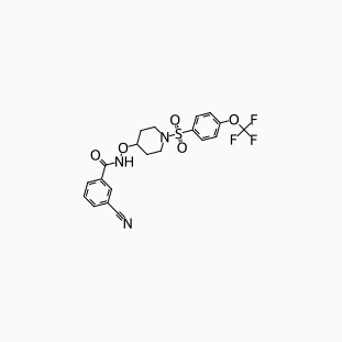 N#Cc1cccc(C(=O)NOC2CCN(S(=O)(=O)c3ccc(OC(F)(F)F)cc3)CC2)c1